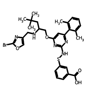 Cc1cccc(C)c1-c1cc(OCC(CC(C)(C)C)NCc2coc(Br)n2)nc(NSc2cccc(C(=O)O)c2)n1